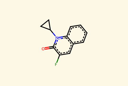 O=c1c(F)cc2ccccc2n1C1CC1